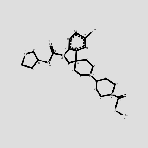 CCCOC(=O)N1CCC(N2CCC3(CC2)CN(C(=O)O[C@H]2CCOC2)c2ccc(F)cc23)CC1